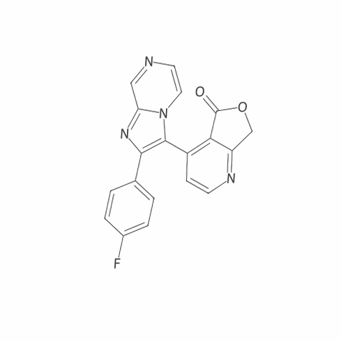 O=C1OCc2nccc(-c3c(-c4ccc(F)cc4)nc4cnccn34)c21